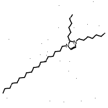 CCCCCCCCCCCCCCCCCCN1C=CN(CCCCCCC)C1CCCCCC